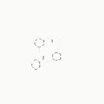 CCNCC(=O)Nc1cc(CSc2ncccc2C(=O)Nc2ccc(OC(F)(F)F)cc2)ccn1